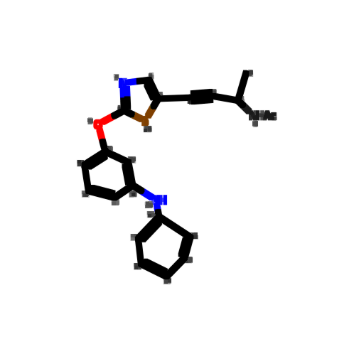 CC(=O)NC(C)C#Cc1cnc(Oc2cccc(Nc3ccccc3)c2)s1